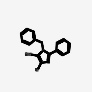 O=Cc1c(Cl)nc(-c2ccccc2)n1Cc1ccccc1